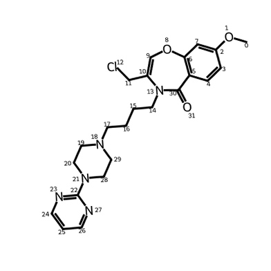 COc1ccc2c(c1)OC=C(CCl)N(CCCCN1CCN(c3ncccn3)CC1)C2=O